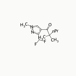 CCCC(C)(C)C(=O)c1cn(C)nc1C(F)F